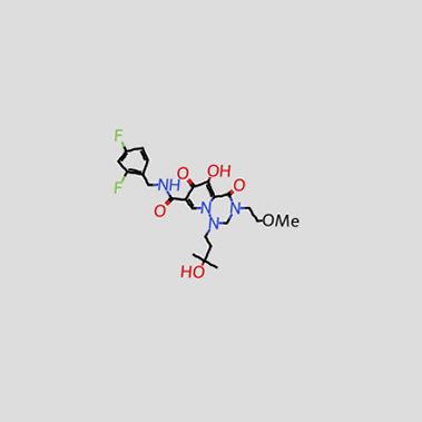 COCCN1CN(CCC(C)(C)O)n2cc(C(=O)NCc3ccc(F)cc3F)c(=O)c(O)c2C1=O